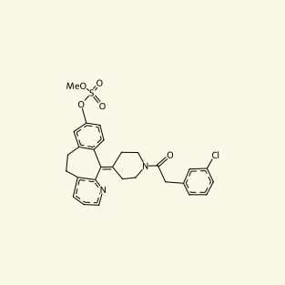 COS(=O)(=O)Oc1ccc2c(c1)CCc1cccnc1C2=C1CCN(C(=O)Cc2cccc(Cl)c2)CC1